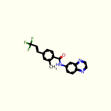 Cc1cc(C=CC(F)(F)F)ccc1C(=O)Nc1ccc2nccnc2c1